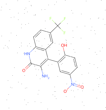 Nc1c(-c2cc([N+](=O)[O-])ccc2O)c2cc(C(F)(F)F)ccc2[nH]c1=O